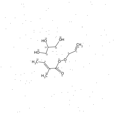 C=CCOOC(=O)C(C)=CC.OCC(O)CO